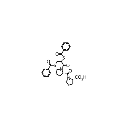 O=C(SCC(SC(=O)c1ccccc1)C(=O)N1CCC[C@H]1C(=O)N1CCC[C@H]1C(=O)O)c1ccccc1